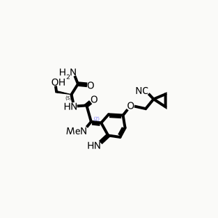 CN/C(C(=O)N[C@@H](CO)C(N)=O)=C1/C=C(OCC2(C#N)CC2)C=CC1=N